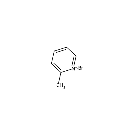 CC1=CC=CC=[N+]1.[Br-]